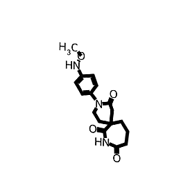 CONc1ccc(N2CCC3(CCCC(=O)NC3=O)CC2=O)cc1